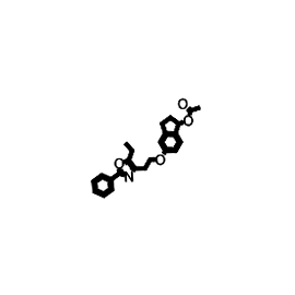 CCc1oc(-c2ccccc2)nc1CCOc1ccc2c(c1)CCC2OC(C)=O